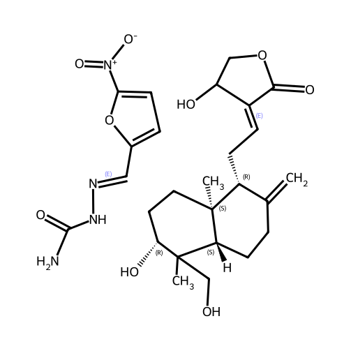 C=C1CC[C@@H]2C(C)(CO)[C@H](O)CC[C@@]2(C)[C@@H]1C/C=C1/C(=O)OCC1O.NC(=O)N/N=C/c1ccc([N+](=O)[O-])o1